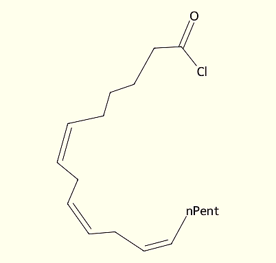 CCCCC/C=C\C/C=C\C/C=C\CCCCC(=O)Cl